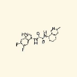 Cc1cc2c(cn1)C(NC(=O)C(=O)Nc1c[nH]c3cc(F)c(F)cc13)CCC2